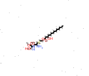 CCCCCCCCCCC[C@@H](O)CC(=O)OCCSC[C@H](N)C(=O)N[C@@H](CO)C(=O)OC